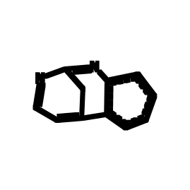 C1=NC2=Nc3ccccc3C(=C1)C2